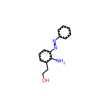 Nc1c(CCO)cccc1N=Nc1ccccc1